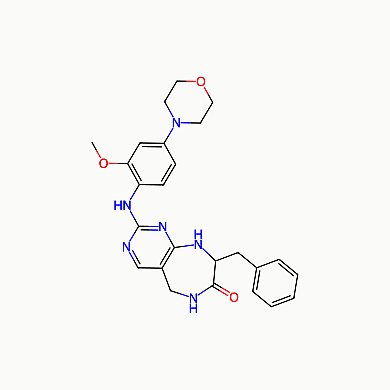 COc1cc(N2CCOCC2)ccc1Nc1ncc2c(n1)NC(Cc1ccccc1)C(=O)NC2